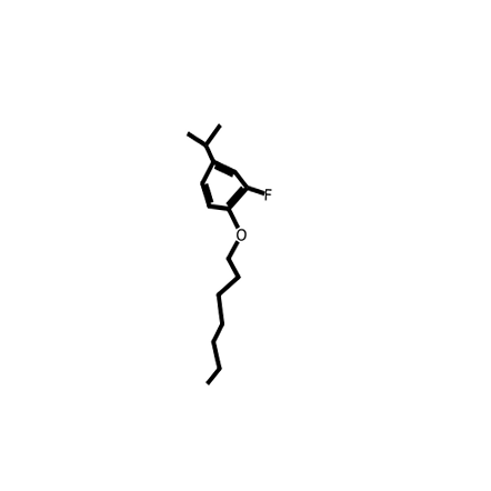 CCCCCCCOc1ccc(C(C)C)cc1F